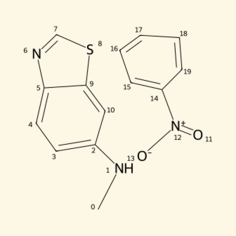 CNc1ccc2ncsc2c1.O=[N+]([O-])c1ccccc1